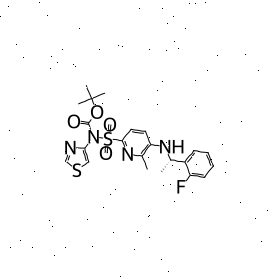 Cc1nc(S(=O)(=O)N(C(=O)OC(C)(C)C)c2cscn2)ccc1N[C@@H](C)c1ccccc1F